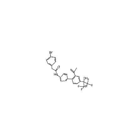 C=C(C)c1cc(C(O)(C(F)(F)F)C(F)(F)F)ccc1-c1ccc(NC(=O)Cc2ccc(Br)cc2)cc1